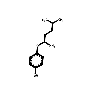 CC(C)CCC(N)Oc1ccc(O)cc1